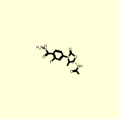 CC(=O)N[C@H]1OC(=O)N(c2ccc(C(=O)NN)c(F)c2)C1C